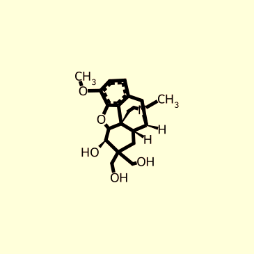 COc1ccc2c3c1OC1[C@H](O)C(CO)(CO)C[C@H]4[C@@H](C2)N(C)CC[C@]314